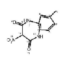 Cc1ccc2c(c1)NC(=O)C([N+](=O)[O-])C(=O)N2